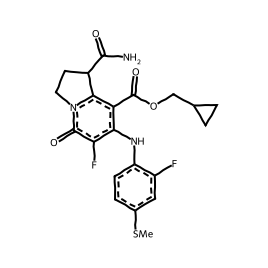 CSc1ccc(Nc2c(C(=O)OCC3CC3)c3n(c(=O)c2F)CCC3C(N)=O)c(F)c1